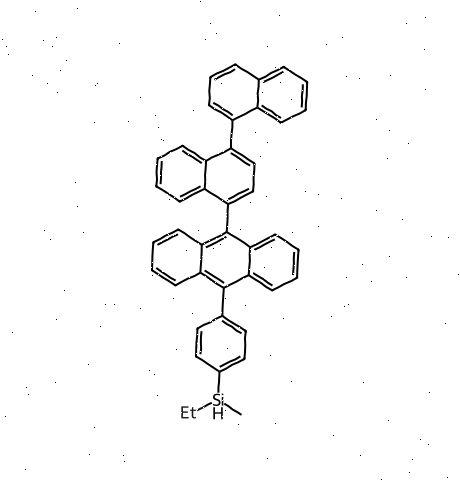 CC[SiH](C)c1ccc(-c2c3ccccc3c(-c3ccc(-c4cccc5ccccc45)c4ccccc34)c3ccccc23)cc1